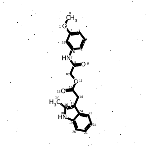 COc1cccc(NC(=O)COC(=O)Cc2c(C)[nH]c3ccccc23)c1